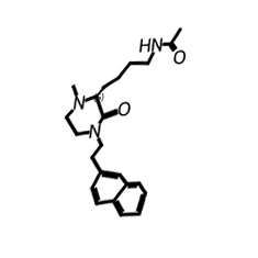 CC(=O)NCCCC[C@H]1C(=O)N(CCc2ccc3ccccc3c2)CCN1C